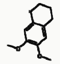 COc1cc2c(cc1OC)CCC[C]2